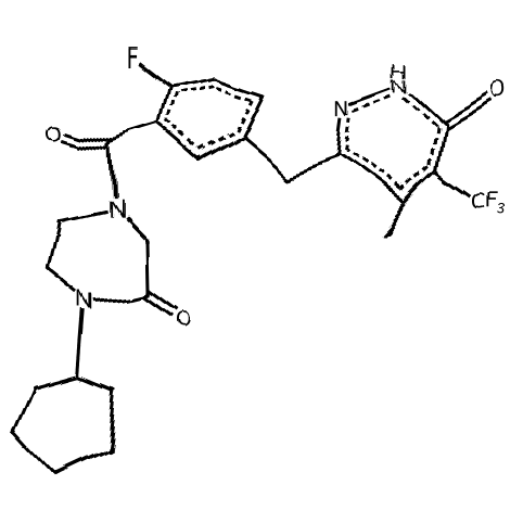 Cc1c(Cc2ccc(F)c(C(=O)N3CCN(C4CCCCC4)C(=O)C3)c2)n[nH]c(=O)c1C(F)(F)F